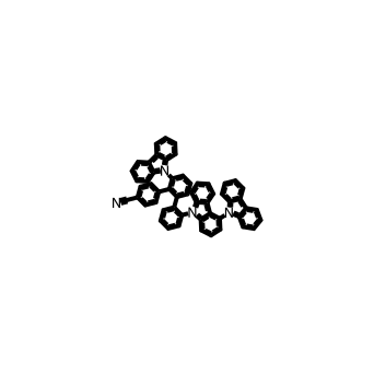 N#Cc1ccc(-c2c(-c3ccccc3-n3c4ccccc4c4c(-n5c6ccccc6c6ccccc65)cccc43)cccc2-n2c3ccccc3c3ccccc32)cc1